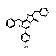 O=c1c(Cc2ccncc2)nc2c(Cc3ccccc3)[nH]c(-c3ccc(O)cc3)cn1-2